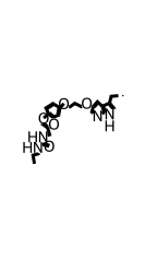 [CH2]Cc1c[nH]c2ncc(OCCCOc3ccc4c(c3)OC(CNC(=O)NCCC)=CO4)cc12